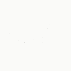 CCCCc1ccc(C(=O)Oc2c(C)cc(C(C)(C)C)cc2C(C(=O)OCC)C(C)(C)C)cc1